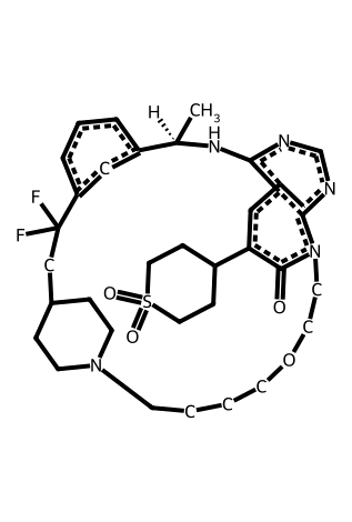 C[C@H]1Nc2ncnc3c2cc(C2CCS(=O)(=O)CC2)c(=O)n3CCOCCCCN2CCC(CC2)CC(F)(F)c2cccc1c2